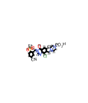 CCS(=O)(=O)c1ccc(C#N)cc1Cn1cnc2c(Cl)c(CN3CCN(C(=O)O)CC3)c(C(F)(F)F)cc2c1=O